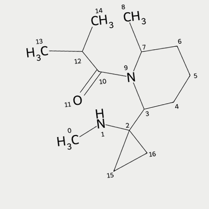 CNC1(C2CCCC(C)N2C(=O)C(C)C)CC1